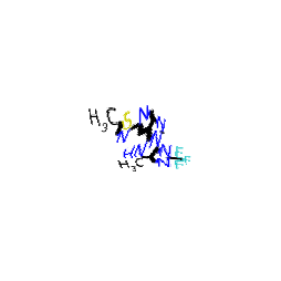 Cc1cnc(-c2cc3c(NC(C)c4cnc(C(F)(F)F)nc4)ncnc3cn2)s1